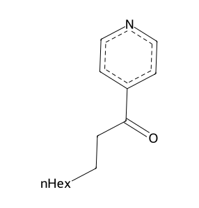 CCCCCCCCC(=O)c1ccncc1